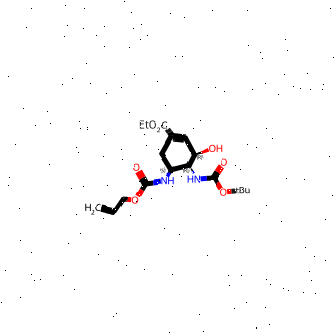 C=CCOC(=O)N[C@H]1CC(C(=O)OCC)=C[C@@H](O)[C@@H]1NC(=O)OC(C)(C)C